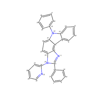 c1ccc(-c2nc3c4c5ccccc5n(-c5ccccc5)c4ccc3n2-c2ccccn2)cc1